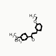 CCOc1cccc(C=CC(=O)c2ccc(N(C)C)cc2)c1